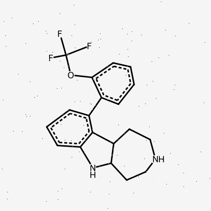 FC(F)(F)Oc1ccccc1-c1cccc2c1C1CCNCCC1N2